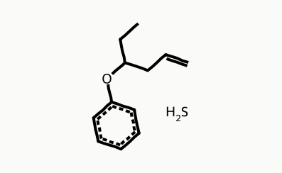 C=CCC(CC)Oc1ccccc1.S